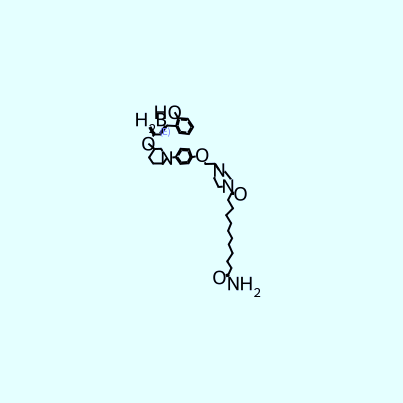 B/C(=C\C(=C)OC1CCCN(c2ccc(OCCN3CCN(C(=O)CCCCCCCCCCC(N)=O)CC3)cc2)C1)c1ccccc1O